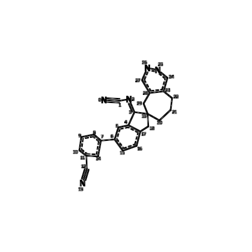 N#CN=C1c2cc(-c3cccc(C#N)c3)ccc2CC12CCCc1cnncc1C2